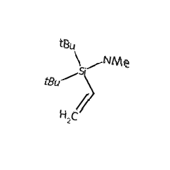 C=C[Si](NC)(C(C)(C)C)C(C)(C)C